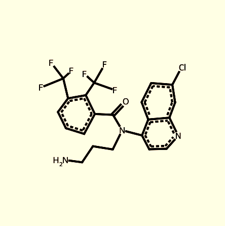 NCCCN(C(=O)c1cccc(C(F)(F)F)c1C(F)(F)F)c1ccnc2cc(Cl)ccc12